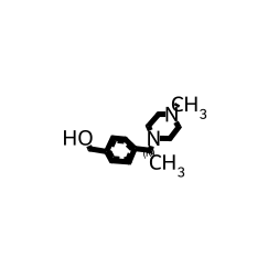 C[C@H](c1ccc(CO)cc1)N1CCN(C)CC1